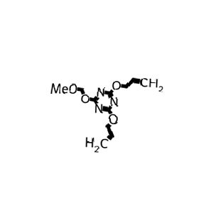 C=CCOc1nc(OCC=C)nc(OCOC)n1